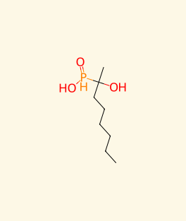 CCCCCCC(C)(O)[PH](=O)O